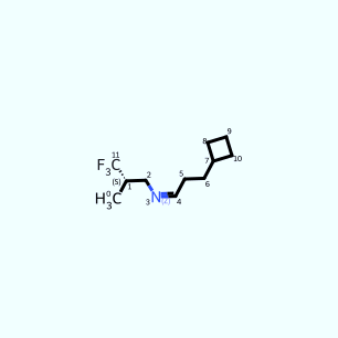 C[C@@H](C/N=C\CCC1CCC1)C(F)(F)F